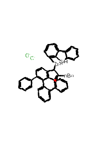 CCCCC1=Cc2c(ccc(-c3ccccc3)c2-c2ccccc2-c2ccccc2)[CH]1[Zr+2]1[c]2cccc3c2[SiH]1c1ccccc1-3.[Cl-].[Cl-]